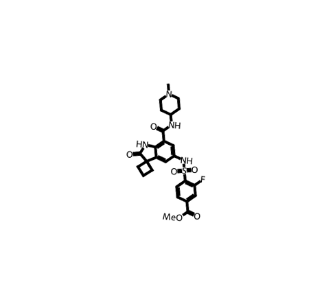 COC(=O)c1ccc(S(=O)(=O)Nc2cc(C(=O)NC3CCN(C)CC3)c3c(c2)C2(CCC2)C(=O)N3)c(F)c1